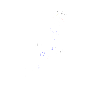 C[C@@H]1CN(c2ncc(S(C)(=O)=O)cn2)C[C@H](C)N1C(=O)NC1CCN(Cc2ccccc2)CC1